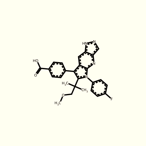 COCC(C)(C)c1c(-c2ccc(C(=O)O)cc2)c2cc3[nH]ncc3nc2n1-c1ccc(F)cc1